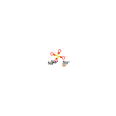 O=S(=O)([O-])[O-].[Br-].[Na+].[Na+].[Na+]